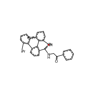 CC(C)c1cccc(C(C)C)c1-c1cccc(C(=N)NCC(=O)c2ccccc2)c1-c1c(C(C)C)cccc1C(C)C